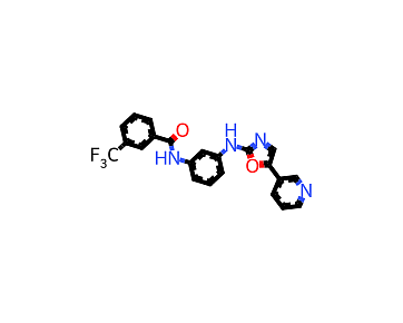 O=C(Nc1cccc(Nc2ncc(-c3cccnc3)o2)c1)c1cccc(C(F)(F)F)c1